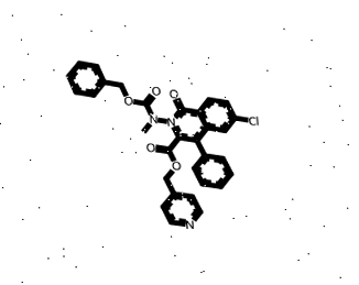 CN(C(=O)OCc1ccccc1)n1c(C(=O)OCc2ccncc2)c(-c2ccccc2)c2cc(Cl)ccc2c1=O